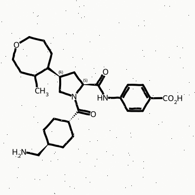 CC1CCOCCCC1[C@H]1C[C@@H](C(=O)Nc2ccc(C(=O)O)cc2)N(C(=O)[C@H]2CC[C@H](CN)CC2)C1